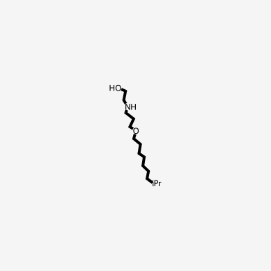 CC(C)CCCCCCCOCCCNCCO